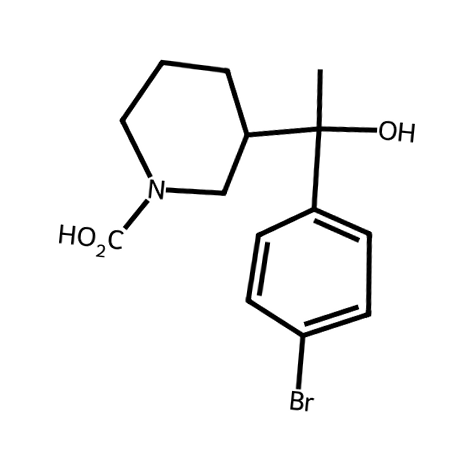 CC(O)(c1ccc(Br)cc1)C1CCCN(C(=O)O)C1